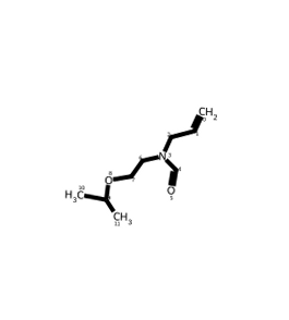 C=CCN([C]=O)CCOC(C)C